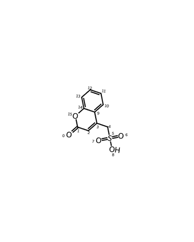 O=c1cc(CS(=O)(=O)O)c2ccccc2o1